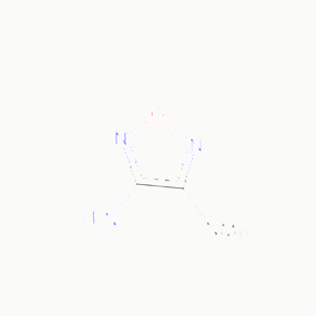 CNc1nonc1N